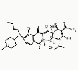 CCCCN(c1ccc2c(c1O)C(=O)C1=C(O)[C@@]3(O)C(=O)C(C(N)=O)=C(O)[C@H](N(C)C)[C@H]3[C@H](O)[C@H]1[C@@H]2C)C1CCN(C)CC1